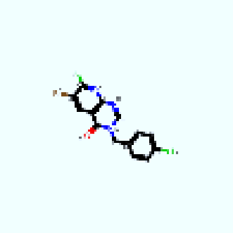 O=c1c2cc(Br)c(Cl)nc2ncn1Cc1ccc(Cl)cc1